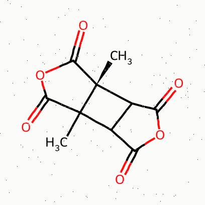 CC12C(=O)OC(=O)[C@]1(C)C1C(=O)OC(=O)C12